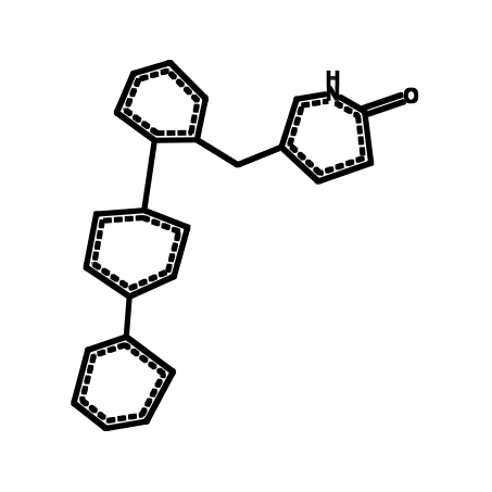 O=c1ccc(Cc2ccccc2-c2ccc(-c3ccccc3)cc2)c[nH]1